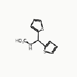 O=C(O)NC(c1cccs1)c1cccs1